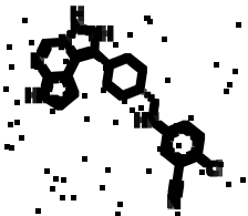 N#Cc1cc(NC[C@H]2CC[C@H](C3=C4c5cc[nH]c5N=CN4NN3)CC2)ccc1Cl